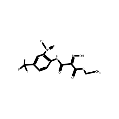 CCOC(=O)C(=NO)C(=O)Nc1ccc(C(F)(F)F)cc1[N+](=O)[O-]